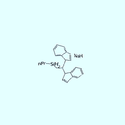 CCC[SiH2]CC(C1C=Cc2ccccc21)C1C=Cc2ccccc21.[NaH]